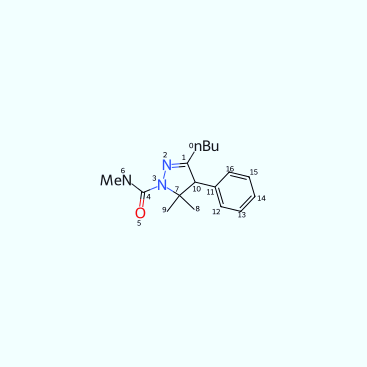 CCCCC1=NN(C(=O)NC)C(C)(C)C1c1ccccc1